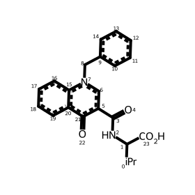 CC(C)C(NC(=O)c1cn(Cc2ccccc2)c2ccccc2c1=O)C(=O)O